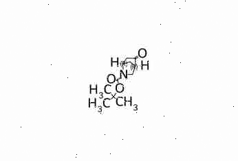 CC(C)(C)OC(=O)N1C[C@H]2C[C@@H]1CC2=O